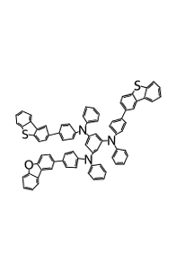 c1ccc(N(c2ccc(-c3ccc4oc5ccccc5c4c3)cc2)c2cc(N(c3ccccc3)c3ccc(-c4ccc5sc6ccccc6c5c4)cc3)cc(N(c3ccccc3)c3ccc(-c4ccc5sc6ccccc6c5c4)cc3)c2)cc1